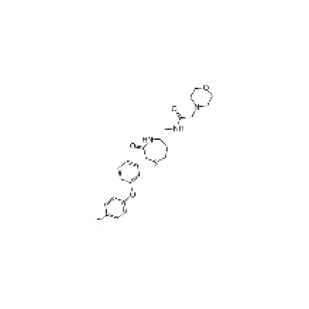 O=C(CN1CCOCC1)NC[C@@H]1CCS[C@H](c2cccc(Oc3ccc(F)cc3)c2)C(=O)N1